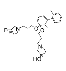 Cc1ccccc1C1=CC=CC(OCCCN2CC[C@@H](O)C2)(OCCCN2CC[C@@H](F)C2)C1C